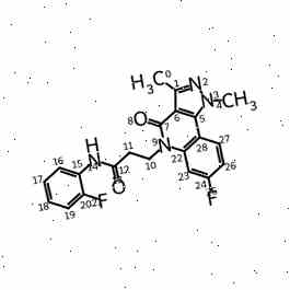 Cc1nn(C)c2c1c(=O)n(CCC(=O)Nc1ccccc1F)c1cc(F)ccc21